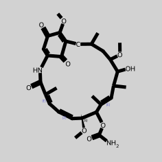 COC1=C2CC(C)CC(OC)C(O)C(C)/C=C(\C)C(OC(N)=O)[C@@H](OC)/C=C\C=C(/C)C(=O)NC(=CC1=O)C2=O